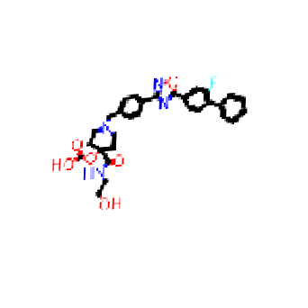 O=C(O)OC1(C(=O)NCCO)CCN(Cc2ccc(-c3noc(-c4ccc(-c5ccccc5)c(F)c4)n3)cc2)CC1